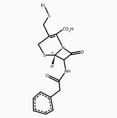 CCSCC1=C(C(=O)O)N2C(=O)C(NC(=O)Cc3ccccc3)[C@@H]2SC1